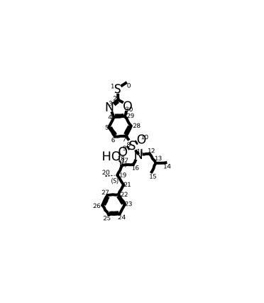 CSc1nc2ccc(S(=O)(=O)N(CC(C)C)C[C@@H](O)[C@@H](C)Cc3ccccc3)cc2o1